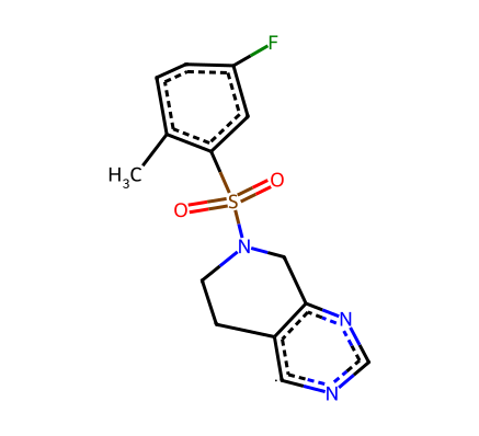 Cc1ccc(F)cc1S(=O)(=O)N1CCc2[c]ncnc2C1